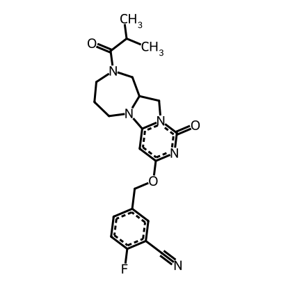 CC(C)C(=O)N1CCCN2c3cc(OCc4ccc(F)c(C#N)c4)nc(=O)n3CC2C1